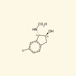 O=C(O)N[C@H]1c2cc(I)ccc2C[C@@H]1O